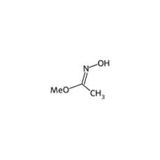 COC(C)=NO